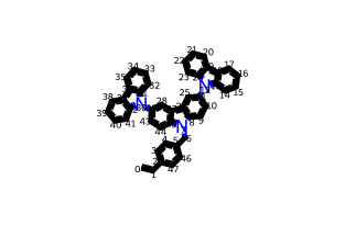 C=Cc1ccc(Cn2c3ccc(-n4c5ccccc5c5ccccc54)cc3c3cc(-n4c5ccccc5c5ccccc54)ccc32)cc1